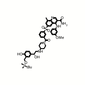 COc1cccc(Nc2c(C(N)=O)cnc3c(C)cc(S(=O)(=O)c4cccc(C(=O)N5CCC(NC[C@H](O)c6ccc(O)c(CO[Si](C)(C)C(C)(C)C)c6)CC5)c4)cc23)c1